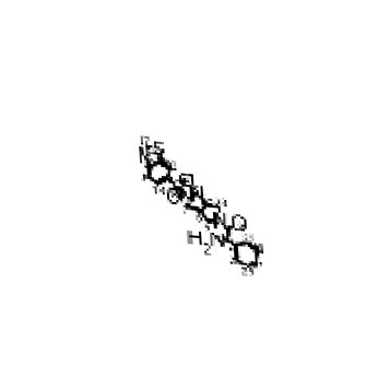 N[C@@H](C(=O)N1Cc2cn(S(=O)(=O)c3ccc4ncsc4c3)nc2C1)c1ccccc1